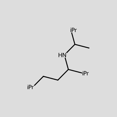 CC(C)CCC(NC(C)C(C)C)C(C)C